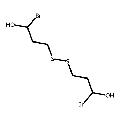 OC(Br)CCSSCCC(O)Br